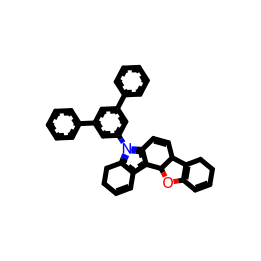 C1=CC2=C(CC1)C1C=Cc3c(c4c(n3-c3cc(-c5ccccc5)cc(-c5ccccc5)c3)CCC=C4)C1O2